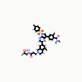 Cc1ccc(S(=O)(=O)n2cc(-c3ccc(C(=O)N(C)C)c(C)c3)c3nc(-c4cc(C)c5c(c4)CN(CCC(=O)NC[C@@H](C)O)CC5)cnc32)cc1